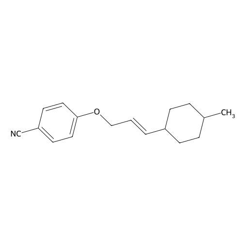 CC1CCC(C=CCOc2ccc(C#N)cc2)CC1